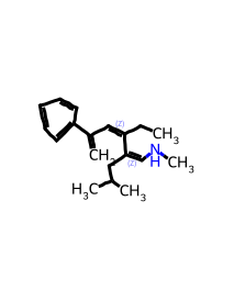 C=C(/C=C(CC)\C(=C/NC)CC(C)C)c1ccccc1